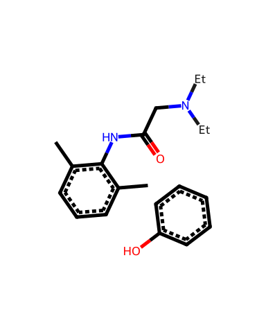 CCN(CC)CC(=O)Nc1c(C)cccc1C.Oc1ccccc1